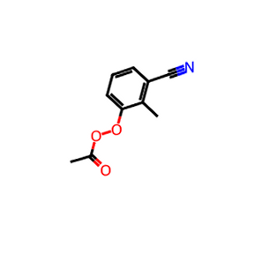 CC(=O)OOc1cccc(C#N)c1C